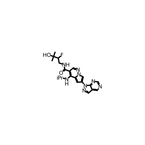 CC(C)Nc1c(C(=O)NCC(F)C(C)(C)O)cnn2cc(-n3ncc4cncnc43)cc12